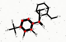 O=C(c1cccc(F)c1Br)N1C(CF)C2CCC1C(Oc1ccc(C(F)(F)F)cn1)C2